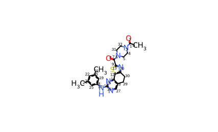 CC(=O)N1CCN(C(=O)c2nc3c(s2)-c2nc(Nc4cc(C)cc(C)c4)ncc2CC3)CC1